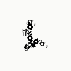 CC1(c2cc(OC(F)(F)F)ccc2OC2CCC(NC(=S)Nc3cccc(OC(F)(F)F)c3)CC2)ON1CCN1CCOCC1